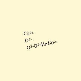 [Co+2].[Co+2].[Mn+2].[O-2].[O-2].[O-2]